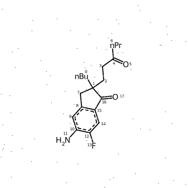 CCCCC1(CCC(=O)CCC)Cc2cc(N)c(F)cc2C1=O